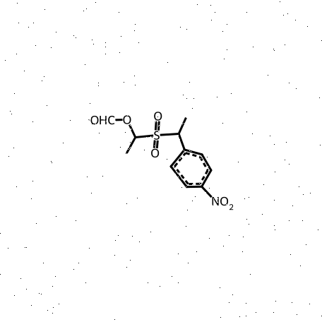 CC(O[C]=O)S(=O)(=O)C(C)c1ccc([N+](=O)[O-])cc1